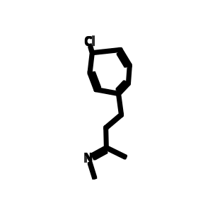 C/N=C(\C)CCC1=CC=CC(Cl)C=C1